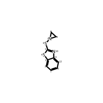 c1ccc2sc(SN3CC3)nc2c1